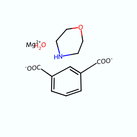 C1COCCN1.O.O=C([O-])c1cccc(C(=O)[O-])c1.[Mg+2]